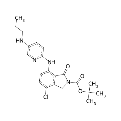 CCCNc1ccc(Nc2ccc(Cl)c3c2C(=O)N(C(=O)OC(C)(C)C)C3)nc1